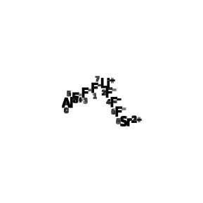 [Al+3].[F-].[F-].[F-].[F-].[F-].[F-].[Li+].[Sr+2]